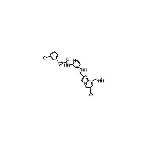 CNCc1cc(C2CC2)cn2cc(CNc3ccnc(NC(=O)[C@H]4C[C@@H]4c4cccc(Cl)c4)c3)nc12